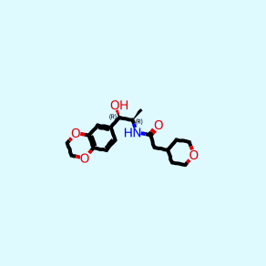 C[C@@H](NC(=O)CC1CCOCC1)[C@H](O)c1ccc2c(c1)OCCO2